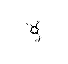 CCCOc1ccc(N)c(S)c1